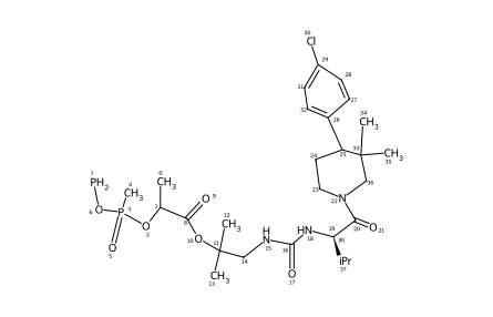 CC(OP(C)(=O)OP)C(=O)OC(C)(C)CNC(=O)N[C@@H](C(=O)N1CCC(c2ccc(Cl)cc2)C(C)(C)C1)C(C)C